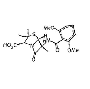 COc1cccc(OC)c1C(=O)NC1(C)C(=O)N2[C@@H](C(=O)O)C(C)(C)S[C@@H]21